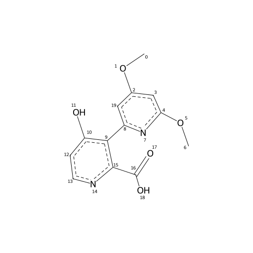 COc1cc(OC)nc(-c2c(O)ccnc2C(=O)O)c1